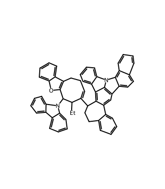 CCC1/C(C2CCc3ccccc3-c3cc4c5ccc6ccccc6c5n5c6ccccc6c(c32)c45)=C\CCc2c(oc3ccccc23)C1n1c2ccccc2c2ccccc21